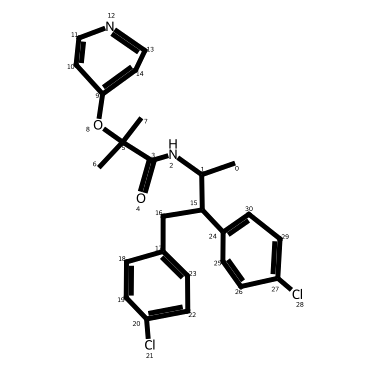 CC(NC(=O)C(C)(C)Oc1ccncc1)C(Cc1ccc(Cl)cc1)c1ccc(Cl)cc1